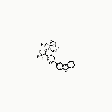 CC(C)(C)OC(=O)C(CC(=O)c1ccc2oc3ccccc3c2c1)NC(=O)C(F)(F)F